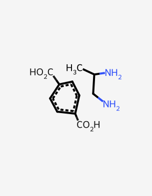 CC(N)CN.O=C(O)c1ccc(C(=O)O)cc1